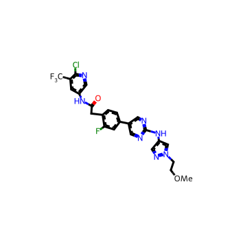 COCCn1cc(Nc2ncc(-c3ccc(CC(=O)Nc4cnc(Cl)c(C(F)(F)F)c4)c(F)c3)cn2)cn1